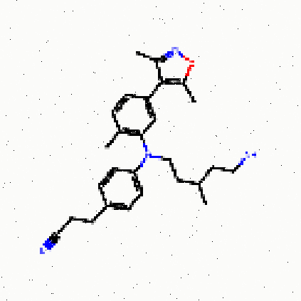 Cc1ccc(-c2c(C)noc2C)cc1N(CCC(C)CCN)c1ccc(CCC#N)cc1